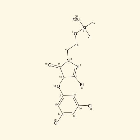 CCC1=NN(CCO[Si](C)(C)C(C)(C)C)C(=O)C1Oc1cc(Cl)cc(Cl)c1